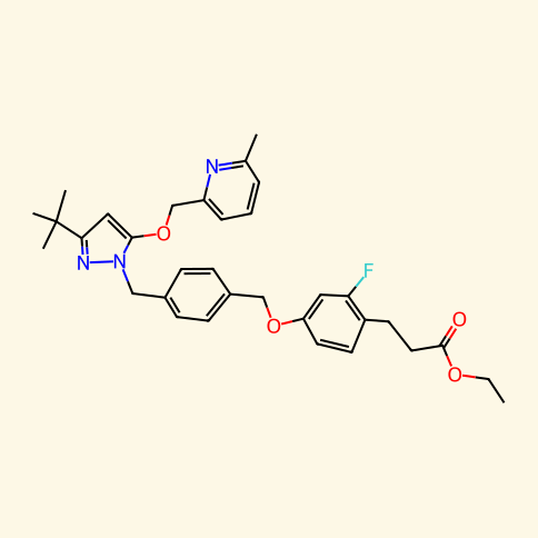 CCOC(=O)CCc1ccc(OCc2ccc(Cn3nc(C(C)(C)C)cc3OCc3cccc(C)n3)cc2)cc1F